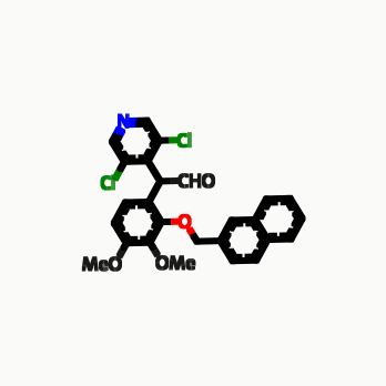 COc1ccc(C(C=O)c2c(Cl)cncc2Cl)c(OCc2ccc3ccccc3c2)c1OC